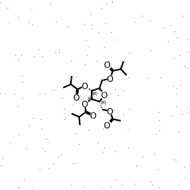 CC(=O)OC[C@H]1O[C](COC(=O)C(C)C)[C@@H](OC(=O)C(C)C)[C@@H]1OC(=O)C(C)C